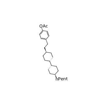 CCCCC[C@H]1CC[C@H]([C@H]2CC[C@H](CCc3ccc(OC(C)=O)cc3)CC2)CC1